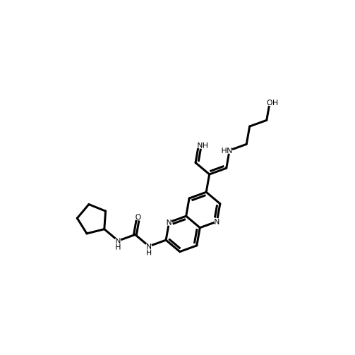 N=C/C(=C\NCCCO)c1cnc2ccc(NC(=O)NC3CCCC3)nc2c1